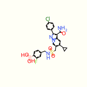 NC(=O)c1c(-c2ccc(Cl)cc2)nn2cc(CS(=O)(=O)NCc3ccc(B(O)O)c(F)c3)c(C3CC3)cc12